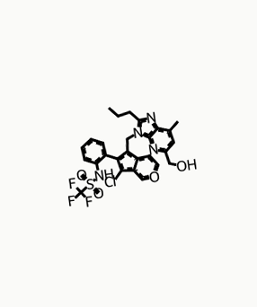 CCCc1nc2c(C)cc(CO)nc2n1Cc1c2ccocc-2c(Cl)c1-c1ccccc1NS(=O)(=O)C(F)(F)F